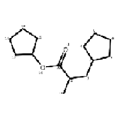 CC(CC1CCCC1)C(=O)OC1CCCC1